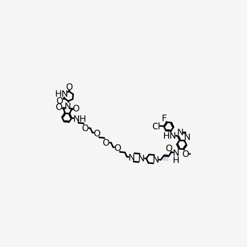 COc1cc2ncnc(Nc3ccc(F)c(Cl)c3)c2cc1NC(=O)/C=C/CN1CCC(N2CCN(CCCOCCOCCOCCOCCNc3cccc4c3C(=O)N(C3CCC(=O)NC3=O)C4=O)CC2)CC1